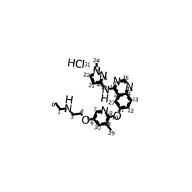 CCNCCOc1cnc(Oc2ccc3ncnc(Nc4ccn(C)n4)c3c2)c(C)c1.Cl